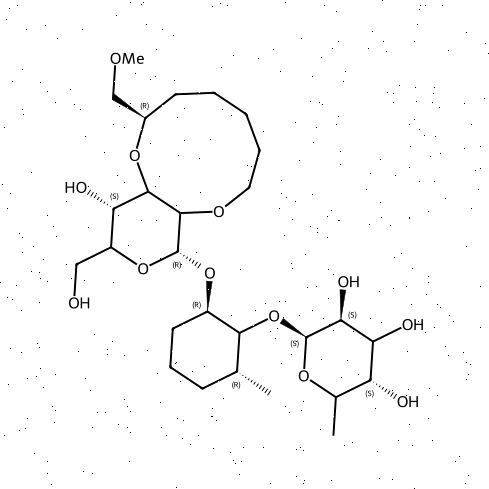 COC[C@H]1CCCCCOC2C(O1)[C@@H](O)C(CO)O[C@H]2O[C@@H]1CCC[C@@H](C)C1O[C@@H]1OC(C)[C@@H](O)C(O)[C@@H]1O